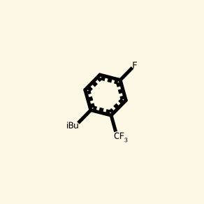 CCC(C)c1ccc(F)cc1C(F)(F)F